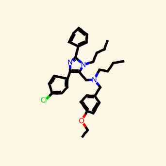 CCCCN(Cc1ccc(OCC)cc1)Cc1c(-c2ccc(Cl)cc2)nc(-c2ccccc2)n1CCCC